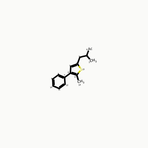 CC(=O)C(C)Cc1cc(-c2ccccc2)c(C)s1